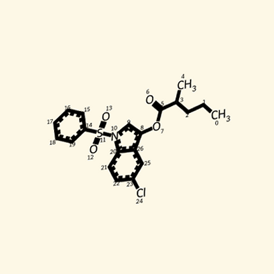 CCCC(C)C(=O)Oc1cn(S(=O)(=O)c2ccccc2)c2ccc(Cl)cc12